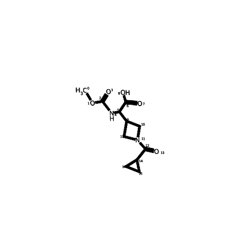 COC(=O)NC(C(=O)O)C1CN(C(=O)C2CC2)C1